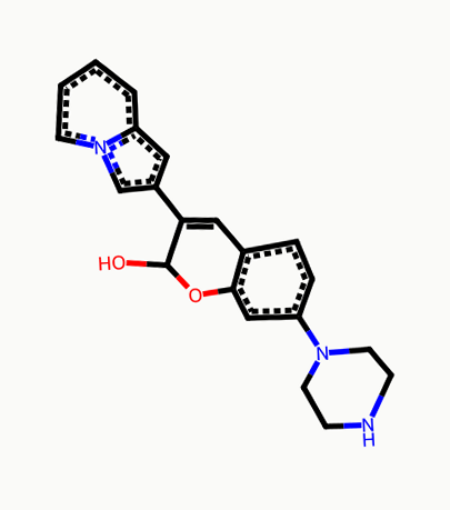 OC1Oc2cc(N3CCNCC3)ccc2C=C1c1cc2ccccn2c1